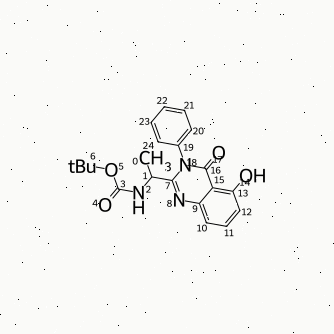 CC(NC(=O)OC(C)(C)C)c1nc2cccc(O)c2c(=O)n1-c1ccccc1